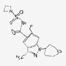 Cc1nn(C2CCOCC2)c2cc(F)c(C(=O)NS(=O)(=O)N3CCC3)cc12